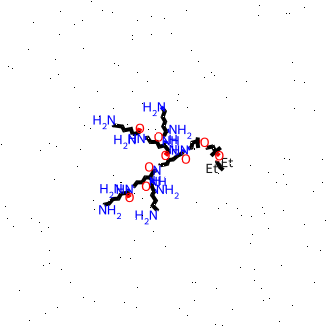 CCC(C)(CC)COC(C)(C)CCOC(C)(C)CCNC(=O)C(CCCCNC(=O)C(CCCCNC(=O)C(N)CCCCN)NC(=O)C(N)CCCCN)NC(=O)C(CCCCNC(=O)C(N)CCCCN)NC(=O)C(N)CCCCN